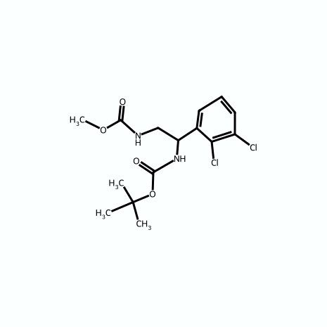 COC(=O)NCC(NC(=O)OC(C)(C)C)c1cccc(Cl)c1Cl